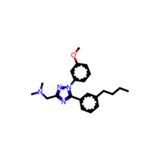 CCCCc1cccc(-c2nc(CN(C)C)nn2-c2cccc(OC)c2)c1